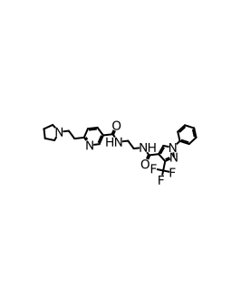 O=C(NCCNC(=O)c1cn(-c2ccccc2)nc1C(F)(F)F)c1ccc(CCN2CCCC2)nc1